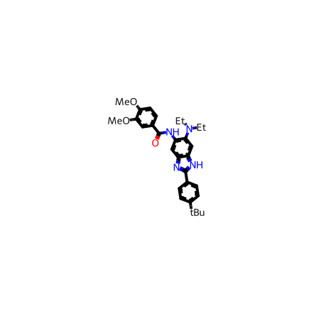 CCN(CC)c1cc2[nH]c(-c3ccc(C(C)(C)C)cc3)nc2cc1NC(=O)c1ccc(OC)c(OC)c1